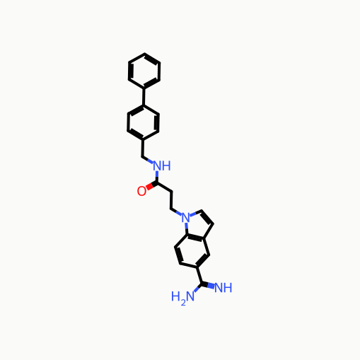 N=C(N)c1ccc2c(ccn2CCC(=O)NCc2ccc(-c3ccccc3)cc2)c1